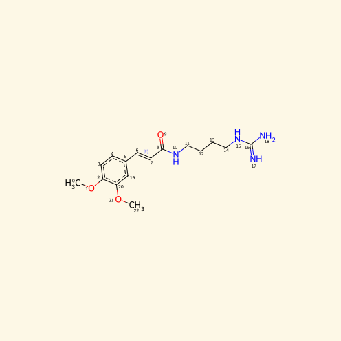 COc1ccc(/C=C/C(=O)NCCCCNC(=N)N)cc1OC